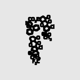 CCOC(=O)C1=NOC(c2ccccc2)(c2ccccc2)C1.CS(=O)(=O)c1ccc(C(=O)C2C(=O)CCCC2=O)c(Cl)c1.CS(=O)(=O)c1ccc(C(=O)C2C(=O)CCCC2=O)c(Cl)c1COCC(F)(F)F